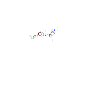 CCCCNc1ccc2[nH]cc(CCNCc3cccc(OCC(F)(F)C(F)F)c3)c2c1